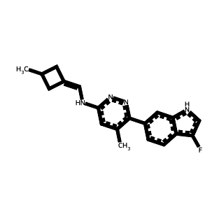 Cc1cc(NC=C2CC(C)C2)nnc1-c1ccc2c(F)c[nH]c2c1